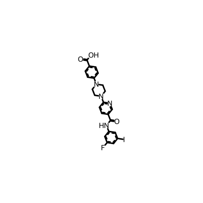 O=C(O)c1ccc(N2CCN(c3ccc(C(=O)Nc4cc(F)cc(I)c4)cn3)CC2)cc1